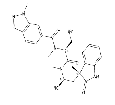 CC(C)C[C@@H](C(=O)N(C)[C@H](C#N)C[C@@]1(C)C(=O)Nc2ccccc21)N(C)C(=O)c1ccc2cnn(C)c2c1